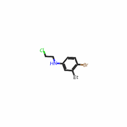 CCc1cc(NCCCl)ccc1Br